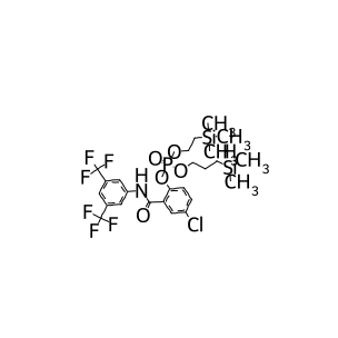 C[SiH](C)CCCOP(=O)(OCC[Si](C)(C)C)Oc1ccc(Cl)cc1C(=O)Nc1cc(C(F)(F)F)cc(C(F)(F)F)c1